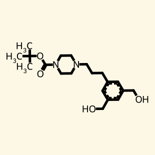 CC(C)(C)OC(=O)N1CCN(CCCc2cc(CO)cc(CO)c2)CC1